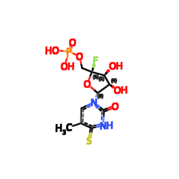 Cc1cn([C@@H]2O[C@](F)(COP(=O)(O)O)[C@@H](O)[C@H]2O)c(=O)[nH]c1=S